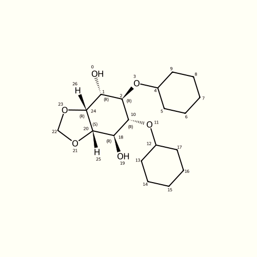 O[C@@H]1[C@@H](OC2CCCCC2)[C@H](OC2CCCCC2)[C@@H](O)[C@@H]2OCO[C@H]12